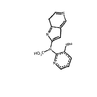 CC(C)(C)c1cccnc1N(C(=O)O)C1=CC2=CN=CCC2=N1